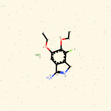 CCOc1cc2c(c(F)c1OCC)CN=C2N.Cl